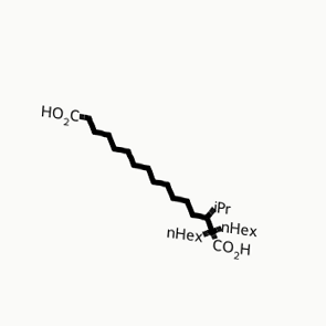 CCCCCCC(CCCCCC)(C(=O)O)C(CCCCCCCCCCCCC(=O)O)C(C)C